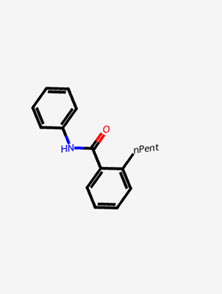 CCCCCc1ccccc1C(=O)Nc1ccccc1